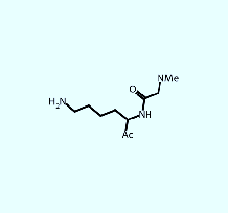 CNCC(=O)NC(CCCCN)C(C)=O